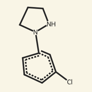 Clc1cccc(N2CCCN2)c1